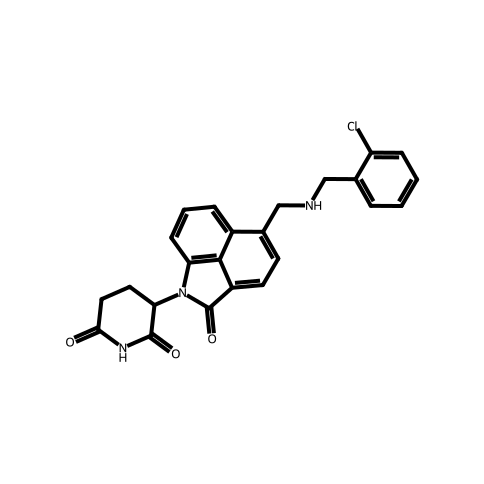 O=C1CCC(N2C(=O)c3ccc(CNCc4ccccc4Cl)c4cccc2c34)C(=O)N1